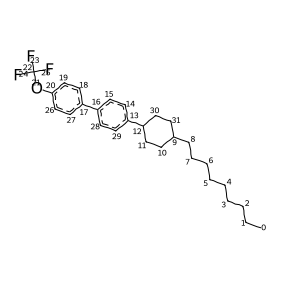 CCCCCCCCCC1CCC(c2ccc(-c3ccc(OC(F)(F)F)cc3)cc2)CC1